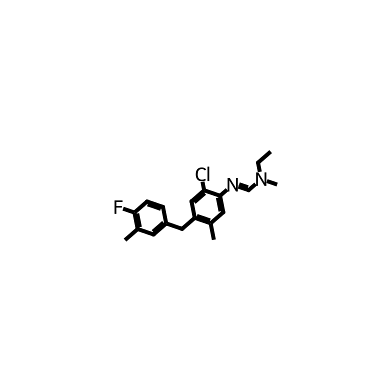 CCN(C)C=Nc1cc(C)c(Cc2ccc(F)c(C)c2)cc1Cl